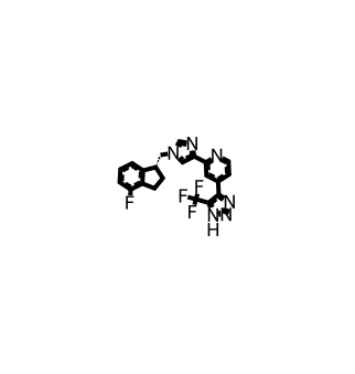 Fc1cccc2c1CC[C@H]2Cn1cnc(-c2cc(-c3nn[nH]c3C(F)(F)F)ccn2)c1